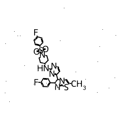 CC1=CN2C(=NC(c3ccc(F)cc3)C2c2ccnc(NC3CCN(S(=O)(=O)c4ccc(F)cc4)CC3)n2)S1